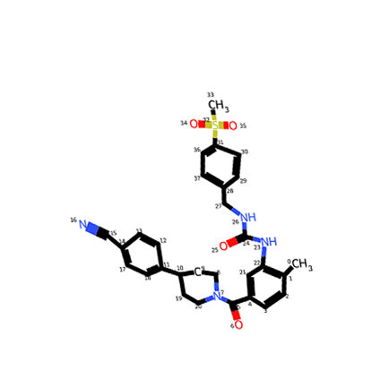 Cc1ccc(C(=O)N2CCC(c3ccc(C#N)cc3)CC2)cc1NC(=O)NCc1ccc(S(C)(=O)=O)cc1